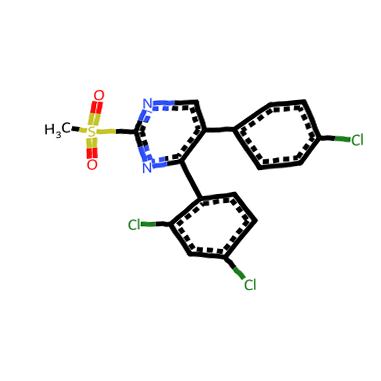 CS(=O)(=O)c1ncc(-c2ccc(Cl)cc2)c(-c2ccc(Cl)cc2Cl)n1